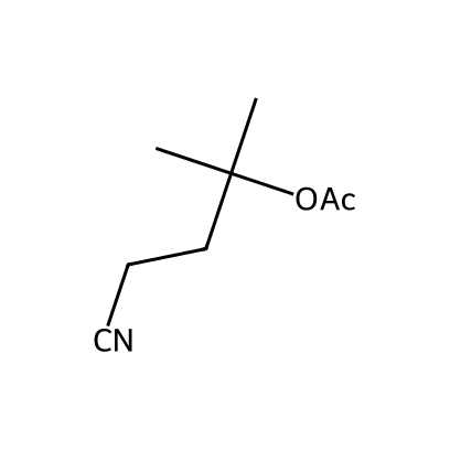 CC(=O)OC(C)(C)CCC#N